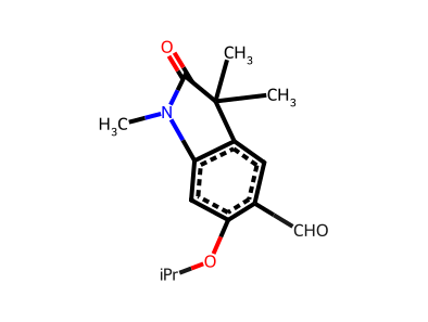 CC(C)Oc1cc2c(cc1C=O)C(C)(C)C(=O)N2C